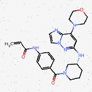 C=CC(=O)Nc1ccc(C(=O)N2CCC[C@@H](Nc3cc(N4CCOCC4)c4nccn4n3)C2)cc1